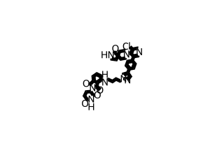 O=C1CCC(N2C(=O)c3cccc(NCCCCn4cc(-c5ccc(-c6cncc(Cl)c6N6CCC7(CCNC7=O)CC6)cc5)cn4)c3C2=O)C(=O)N1